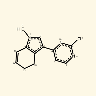 Cn1cc(-c2ccnc(Cl)n2)c2c1C=CCC2